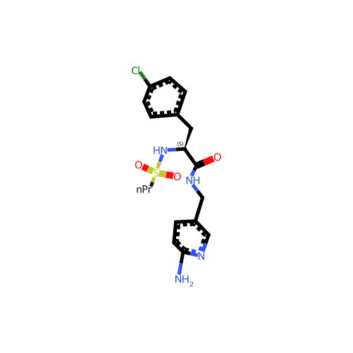 CCCS(=O)(=O)N[C@@H](Cc1ccc(Cl)cc1)C(=O)NCc1ccc(N)nc1